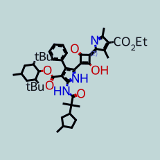 CCOC(=O)C1=C(C)/C(=C2/C(=O)C(c3[nH]c(NC(=O)C(C)(C)C4CCC(C)C4)c(C(=O)OC4C(C(C)(C)C)CC(C)CC4C(C)(C)C)c3-c3ccccc3)=C2O)N=C1C